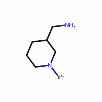 CC(C)N1CCCC(CN)C1